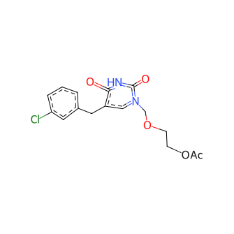 CC(=O)OCCOCn1cc(Cc2cccc(Cl)c2)c(=O)[nH]c1=O